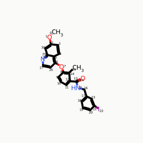 COc1ccc2c(Oc3cccc(C(=O)NCc4cccc(I)c4)c3C)ccnc2c1